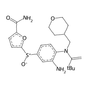 C=C(N(CC1CCOCC1)c1ccc([S+]([O-])c2ccc(C(N)=O)o2)cc1N)C(C)(C)C